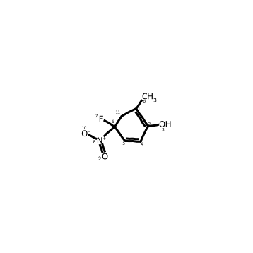 CC1=C(O)C=CC(F)([N+](=O)[O-])C1